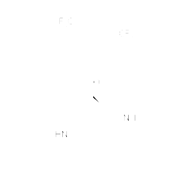 FC(F)(F)c1cc(COC[C@H]2CNC[C@@H]2c2c[nH]c3ccccc23)cc(C(F)(F)F)c1